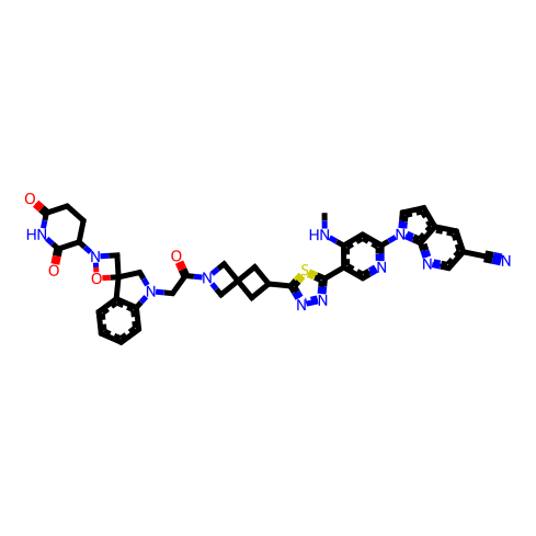 CNc1cc(-n2ccc3cc(C#N)cnc32)ncc1-c1nnc(C2CC3(C2)CN(C(=O)CN2CC4(CN(C5CCC(=O)NC5=O)O4)c4ccccc42)C3)s1